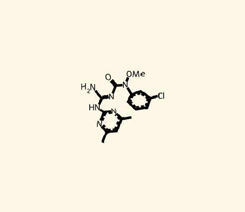 CON(C(=O)N=C(N)Nc1nc(C)cc(C)n1)c1cccc(Cl)c1